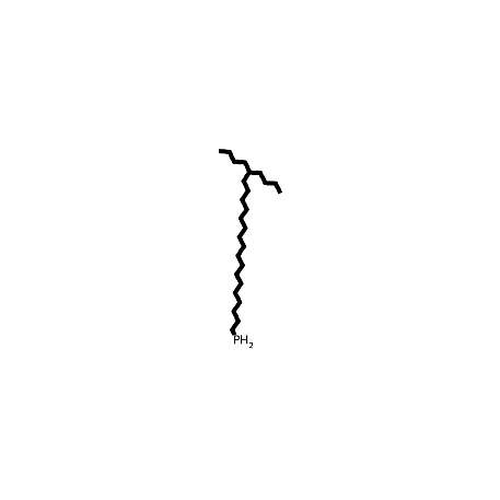 CCCCC(CCCC)CCCCCCCCCCCCCCCCCP